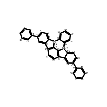 c1ccc(-c2ccc3c(c2)c2ccc4c5cc(-c6ccccc6)ccc5n5c6ccccc6n3c2c45)cc1